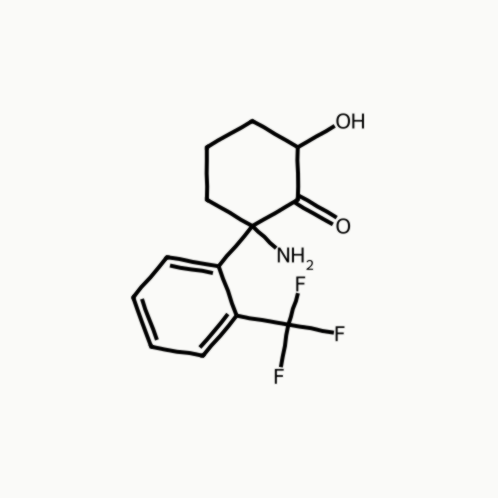 NC1(c2ccccc2C(F)(F)F)CCCC(O)C1=O